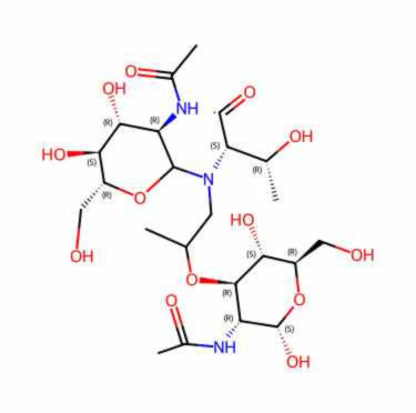 CC(=O)N[C@@H]1[C@@H](OC(C)CN(C2O[C@H](CO)[C@@H](O)[C@H](O)[C@H]2NC(C)=O)[C@H]([C]=O)[C@@H](C)O)[C@H](O)[C@@H](CO)O[C@@H]1O